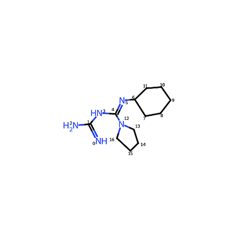 N=C(N)N/C(=N/C1CCCCC1)N1CCCC1